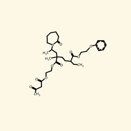 CCC(CCC(C)(CC(C)N1CCCCCC1=O)C(=O)OCCOC(=O)CC(C)=O)C(=O)OCCOc1ccccc1